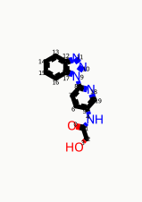 O=C(CO)Nc1ccc(-n2nnc3ccccc32)nc1